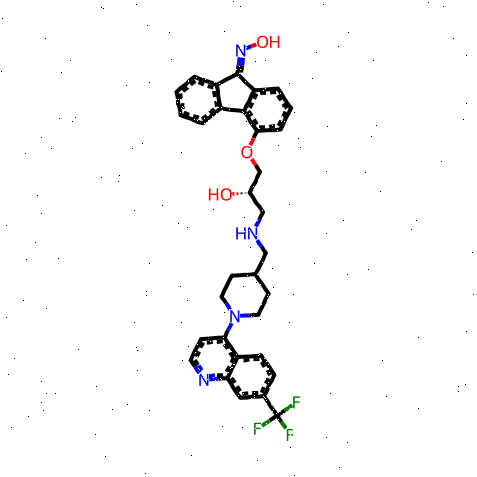 O/N=C1/c2ccccc2-c2c(OC[C@@H](O)CNCC3CCN(c4ccnc5cc(C(F)(F)F)ccc45)CC3)cccc21